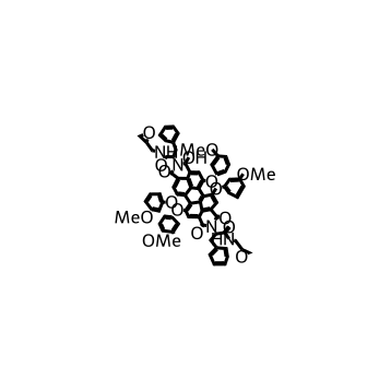 COc1cccc(Oc2cc3c4c(cc(Oc5cccc(OC)c5)c5c6c(Oc7cccc(OC)c7)cc7c8c(cc(Oc9cccc(OC)c9)c(c2c45)c86)C(=O)N(C(Cc2ccccc2)C(=O)NCC2CO2)C7O)C(=O)N(C(Cc2ccccc2)C(=O)NCC2CO2)C3=O)c1